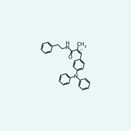 C/C(=C/c1ccc(N(c2ccccc2)c2ccccc2)cc1)C(=O)NCCc1ccccc1